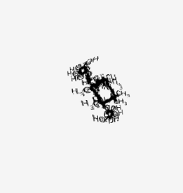 CCC1=C(C)c2cc3[nH]c(cc4nc(c(C)c5cc(C)c(cc1n2)[nH]5)[C@@H](CCCO[C@@H]1O[C@H](CO)[C@@H](O)[C@H](O)[C@H]1O)[C@@H]4C)c(C)c3CO[C@@H]1O[C@H](CO)[C@@H](O)[C@H](O)[C@H]1O